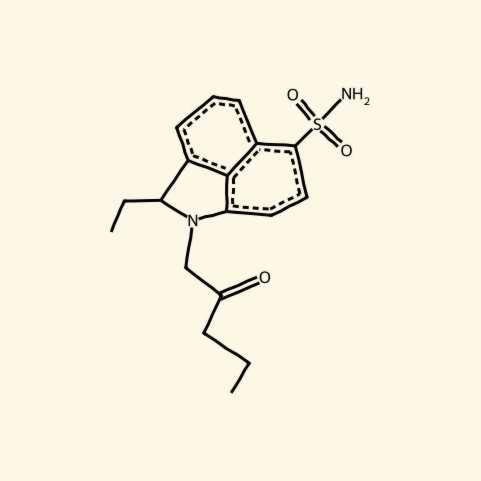 CCCC(=O)CN1c2ccc(S(N)(=O)=O)c3cccc(c23)C1CC